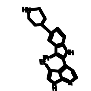 CCc1c[nH]c2nccc(-c3[nH]c4ccc(C5CCNCC5)cc4c3C(C)C)c12